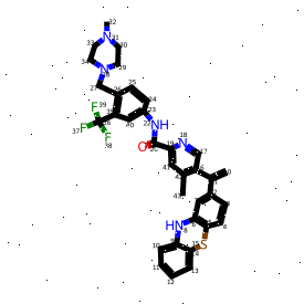 C=C(c1ccc2c(c1)Nc1ccccc1S2)c1cnc(C(=O)Nc2ccc(CN3CCN(C)CC3)c(C(F)(F)F)c2)cc1C